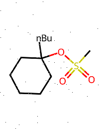 CCCCC1(OS(C)(=O)=O)CCCCC1